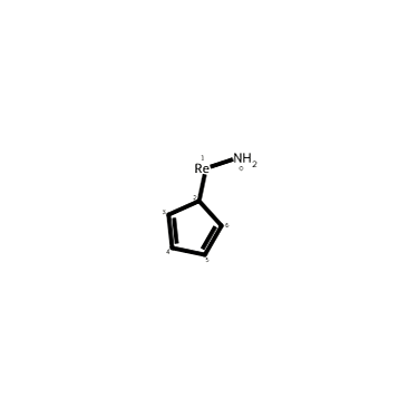 [NH2][Re][CH]1C=CC=C1